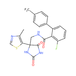 Cc1ncsc1C1(CNC(=O)c2c(F)cccc2-c2ccc(C(F)(F)F)cc2)NC(=O)NC1=O